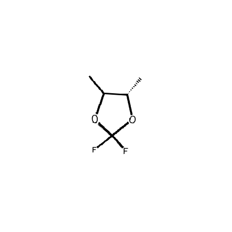 CC1OC(F)(F)O[C@H]1C